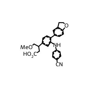 COCC(CC(=O)O)c1ccc(-c2ccc3c(c2)CCO3)c(Nc2ccc(C#N)cc2)c1